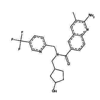 Cc1cc2cc(C(=O)N(Cc3ccc(C(F)(F)F)cn3)CC3CCC(O)C3)ccc2nc1N